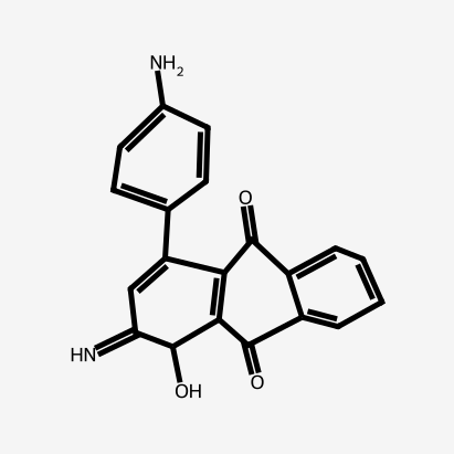 N=C1C=C(c2ccc(N)cc2)C2=C(C(=O)c3ccccc3C2=O)C1O